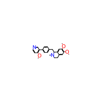 COc1cc2c(cc1OC)C(Cc1ccc(-c3cnccc3OC)cc1)N(C)CC2